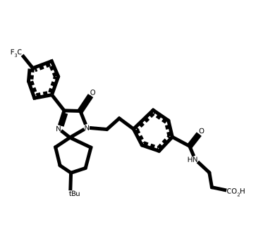 CC(C)(C)C1CCC2(CC1)N=C(c1ccc(C(F)(F)F)cc1)C(=O)N2CCc1ccc(C(=O)NCCC(=O)O)cc1